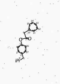 CC(C)Cc1ccc(OC(=O)Cc2ccccc2)cc1